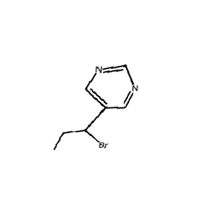 CCC(Br)c1cncnc1